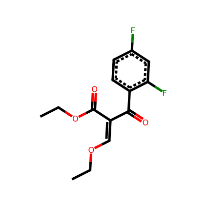 CCO/C=C(\C(=O)OCC)C(=O)c1ccc(F)cc1F